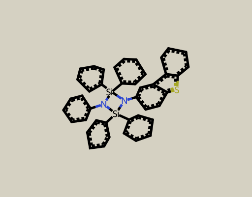 c1ccc(N2[Si](c3ccccc3)(c3ccccc3)N(c3ccc4sc5ccccc5c4c3)[Si]2(c2ccccc2)c2ccccc2)cc1